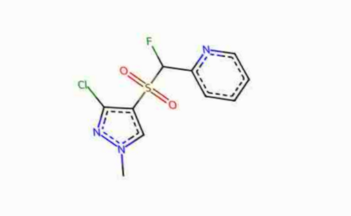 Cn1cc(S(=O)(=O)C(F)c2ccccn2)c(Cl)n1